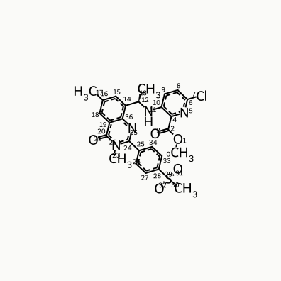 COC(=O)c1nc(Cl)ccc1N[C@H](C)c1cc(C)cc2c(=O)n(C)c(-c3ccc(S(C)(=O)=O)cc3)nc12